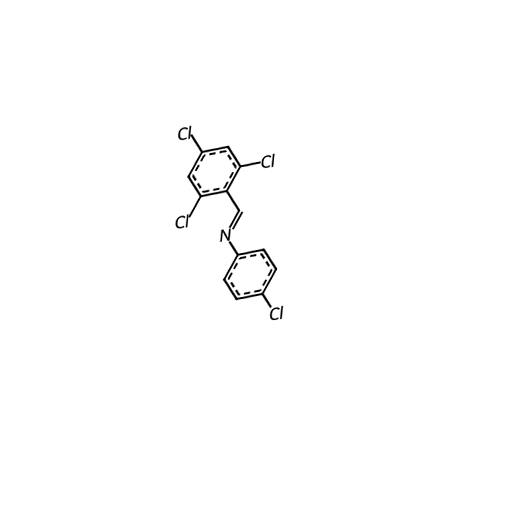 Clc1ccc(N=Cc2c(Cl)cc(Cl)cc2Cl)cc1